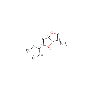 C=C1COC2CC(C(CC)CC)OC12